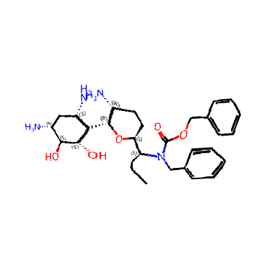 CC[C@@H]([C@@H]1CC[C@@H](N)[C@@H](C2[C@@H](N)C[C@@H](N)[C@H](O)[C@H]2O)O1)N(Cc1ccccc1)C(=O)OCc1ccccc1